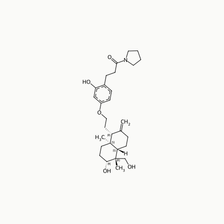 C=C1CC[C@@H]2[C@](C)(CO)[C@H](O)CC[C@@]2(C)[C@@H]1CCOc1ccc(CCC(=O)N2CCCC2)c(O)c1